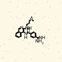 CN(C)CCCNc1ncc2ccccc2c1NNc1ccc(C(=N)N)cc1